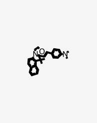 CN(C)c1ccc(C=CC23OCCN2c2ccc4ccccc4c2C3(C)C)cc1